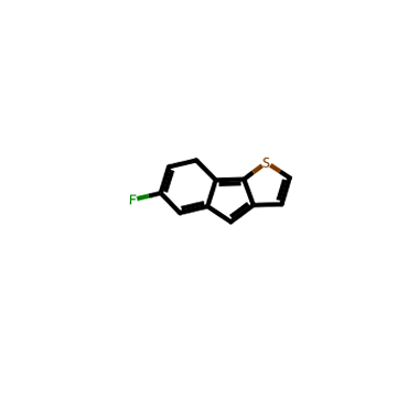 FC1=CCC2=c3sccc3=CC2=C1